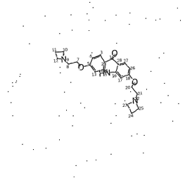 O=c1c2ccc(OCCN3CCC3)cc2[nH]c2cc(OCCN3CCC3)ccc12